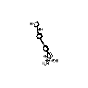 NC[C@H](NC(=O)c1ccc(C#Cc2ccc(CNC3CCCNC3)cc2)cc1)C(=O)NO